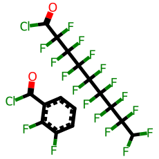 O=C(Cl)C(F)(F)C(F)(F)C(F)(F)C(F)(F)C(F)(F)C(F)(F)C(F)(F)C(F)F.O=C(Cl)c1cccc(F)c1F